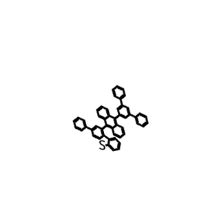 c1ccc(-c2cc(-c3ccccc3)cc(-c3c4ccccc4c(-c4cc(-c5ccccc5)cc5sc6ccccc6c45)c4ccccc34)c2)cc1